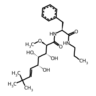 CCCNC(=O)[C@H](Cc1ccccc1)NC(=O)[C@H](OC)[C@H](O)[C@@H](O)[C@H](O)/C=C/C(C)(C)C